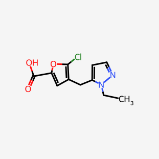 CCn1nccc1Cc1cc(C(=O)O)oc1Cl